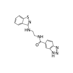 O=C(NCCNc1nsc2ccccc12)c1ccc2nn[nH]c2c1